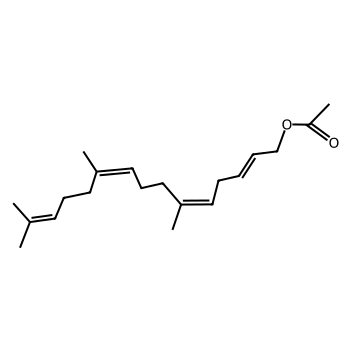 CC(=O)OCC=CCC=C(C)CCC=C(C)CCC=C(C)C